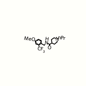 CCCN1CCC(C(=O)NCc2ccc(OC)cc2C(F)(F)F)CC1